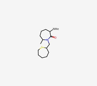 CNC1CCCC(C)N(CC2CCCCCS2)C1=O